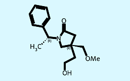 COC[C@]1(CCO)CC(=O)N([C@H](C)c2ccccc2)C1